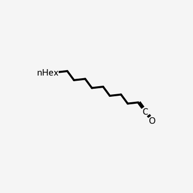 CCCCCCCCCCCCCCC=C=O